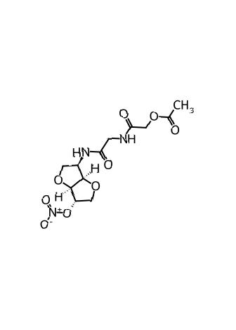 CC(=O)OCC(=O)NCC(=O)N[C@@H]1CO[C@H]2[C@@H]1OC[C@@H]2O[N+](=O)[O-]